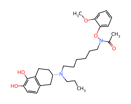 CCCN(CCCCCCN(Oc1ccccc1OC)C(C)=O)[C@H]1CCc2c(ccc(O)c2O)C1